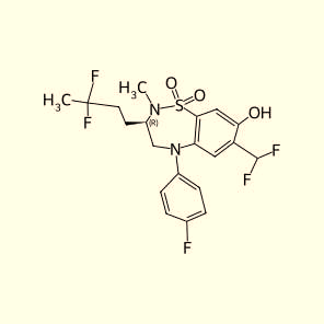 CN1[C@H](CCC(C)(F)F)CN(c2ccc(F)cc2)c2cc(C(F)F)c(O)cc2S1(=O)=O